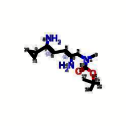 CN(C/C(N)=C/C=C(\N)C1CC1)C(=O)OC(C)(C)C